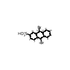 O=S(=O)(O)c1ccc2c(Br)c3ccccc3c(Br)c2c1